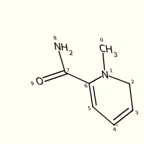 CN1CC=[C]C=C1C(N)=O